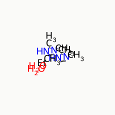 CC1NC=CN1C.CC1NC=CN1C.CCC.O.O